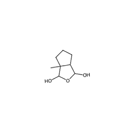 CC12CCCC1C(O)OC2O